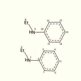 CCNc1ccccc1.CCNc1ccccc1